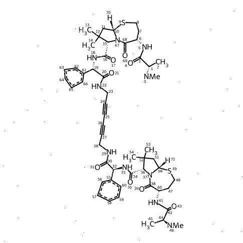 CN[C@@H](C)C(=O)N[C@H]1CCS[C@H]2CC(C)(C)[C@@H](C(=O)N[C@H](C(=O)NCC#CC#CCNC(=O)[C@@H](NC(=O)[C@H]3N4C(=O)[C@@H](NC(=O)[C@H](C)NC)CCS[C@H]4CC3(C)C)c3ccccc3)c3ccccc3)N2C1=O